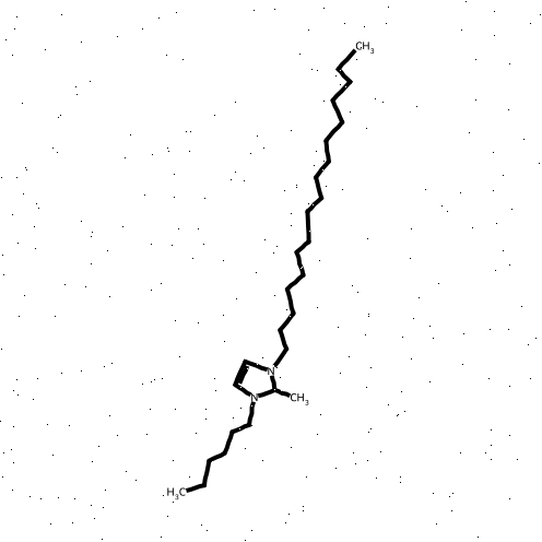 CCCCCCCCCCCCCCCCCN1C=CN(CCCCCC)C1C